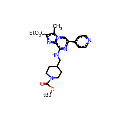 CCOC(=O)c1nc2c(NCC3CCN(C(=O)OC(C)(C)C)CC3)nc(-c3ccncc3)cn2c1C